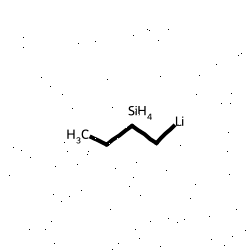 [Li][CH2]CCC.[SiH4]